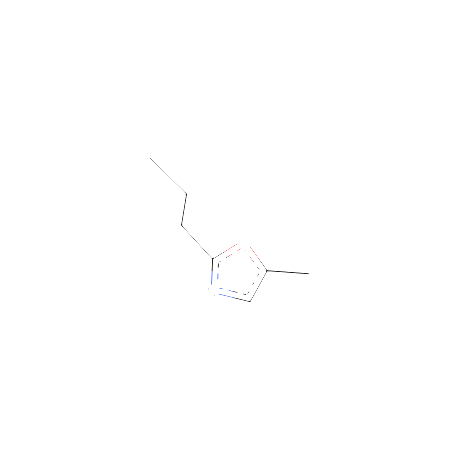 CCCc1ncc(C)o1